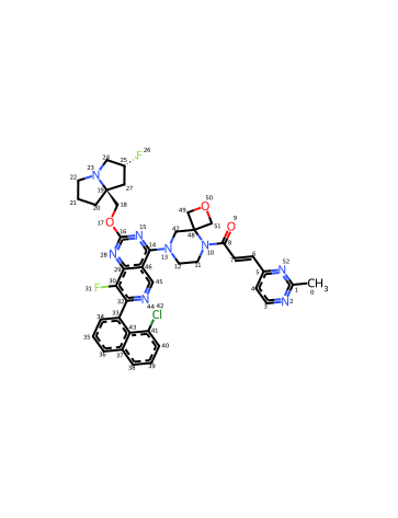 Cc1nccc(/C=C/C(=O)N2CCN(c3nc(OC[C@@]45CCCN4C[C@H](F)C5)nc4c(F)c(-c5cccc6cccc(Cl)c56)ncc34)CC23COC3)n1